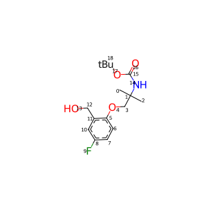 CC(C)(COc1ccc(F)cc1CO)NC(=O)OC(C)(C)C